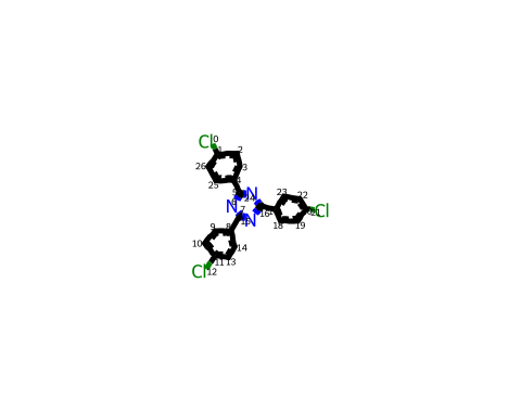 Clc1ccc(-c2nc(-c3ccc(Cl)cc3)nc(-c3ccc(Cl)cc3)n2)cc1